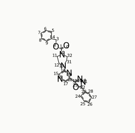 O=C(OCc1ccccc1)N1CCN(c2cncc(-c3nnc(-c4ccccc4)o3)n2)CC1